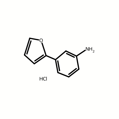 Cl.Nc1cccc(-c2ccco2)c1